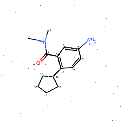 CN(C)C(=O)c1cc(N)ccc1C1CCCC1